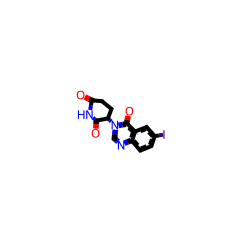 O=C1CCC(n2cnc3ccc(I)cc3c2=O)C(=O)N1